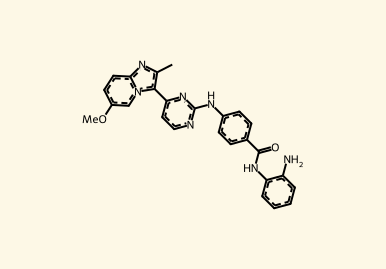 COc1ccc2nc(C)c(-c3ccnc(Nc4ccc(C(=O)Nc5ccccc5N)cc4)n3)n2c1